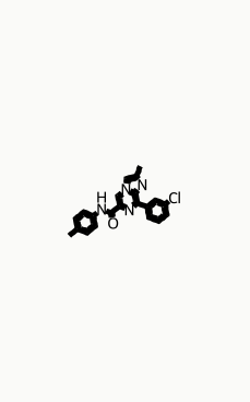 Cc1ccc(NC(=O)c2cn3cc(C)nc3c(-c3cccc(Cl)c3)n2)cc1